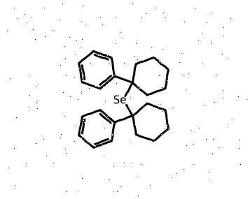 c1ccc(C2([Se]C3(c4ccccc4)CCCCC3)CCCCC2)cc1